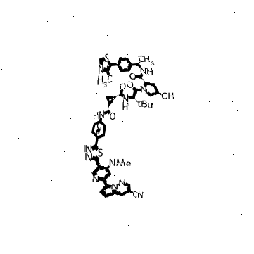 CNc1cc(-c2ccc3cc(C#N)cnn23)ncc1-c1nnc(C23CCC(NC(=O)[C@@H]4C[C@@H]4C(=O)N[C@H](C(=O)N4C[C@H](O)C[C@H]4C(=O)N[C@@H](C)c4ccc(-c5scnc5C)cc4)C(C)(C)C)(CC2)CC3)s1